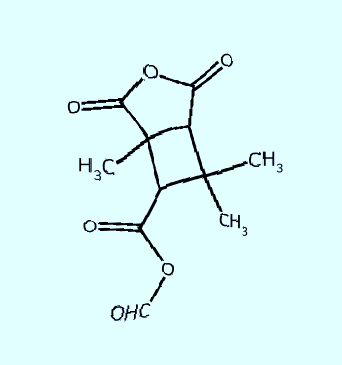 CC1(C)C(C(=O)OC=O)C2(C)C(=O)OC(=O)C12